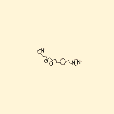 CN1CCN(CCc2ccc(/C=C/C(=O)CC(=O)/C=C/c3cccn3C)cc2)CC1